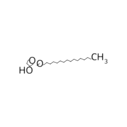 CCCCCCCCCCCCCCCCOC[C@H]1OCC[C@@H]1O